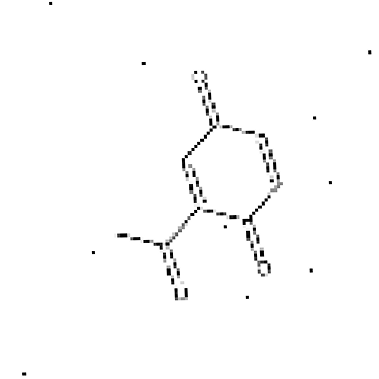 CC(=O)C1=CC(=O)C=CC1=O